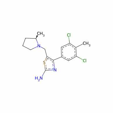 Cc1c(Cl)cc(-c2nc(N)sc2CN2CCC[C@H]2C)cc1Cl